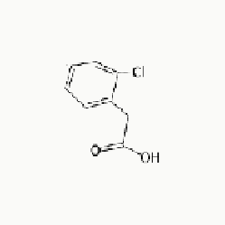 O=C(O)Cc1cc[c]cc1Cl